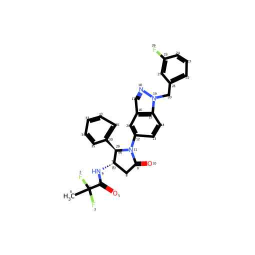 CC(F)(F)C(=O)N[C@H]1CC(=O)N(c2ccc3c(cnn3Cc3cccc(F)c3)c2)[C@@H]1c1ccccc1